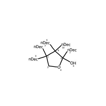 CCCCCCCCCCC1(CCCCCCCCCC)COC(O)(CCCCCCCCCC)C1(CCCCCCCCCC)CCCCCCCCCC